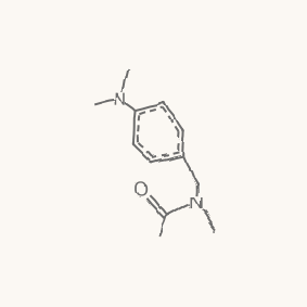 CC(=O)N(C)Cc1ccc(N(C)C)cc1